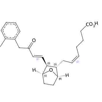 Cc1ccccc1CC(=O)/C=C/[C@H]1[C@H](C/C=C\CCCC(=O)O)[C@H]2CC[C@@H]1O2